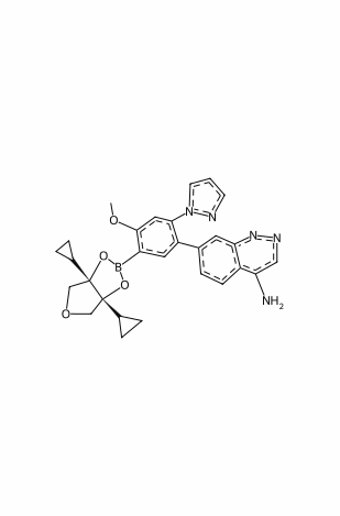 COc1cc(-n2cccn2)c(-c2ccc3c(N)cnnc3c2)cc1B1O[C@]2(C3CC3)COC[C@]2(C2CC2)O1